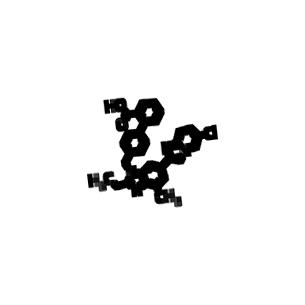 CCc1nc2c(C)cc(-c3cn4cc(Cl)ccc4n3)cc2n1Cc1ccc(-c2ccccc2C(=O)O)cc1